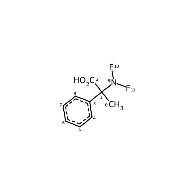 CC(C(=O)O)(c1ccccc1)N(F)F